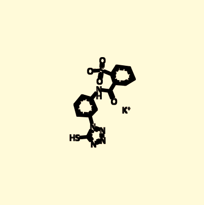 O=C(Nc1cccc(-n2nnnc2S)c1)c1ccccc1S(=O)(=O)[O-].[K+]